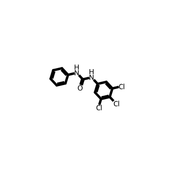 O=C(Nc1ccccc1)Nc1cc(Cl)c(Cl)c(Cl)c1